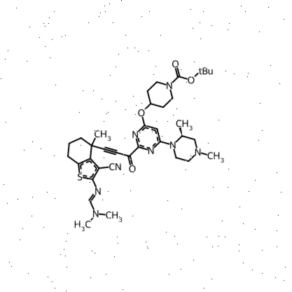 C[C@H]1CN(C)CCN1c1cc(OC2CCN(C(=O)OC(C)(C)C)CC2)nc(C(=O)C#CC2(C)CCCc3sc(/N=C/N(C)C)c(C#N)c32)n1